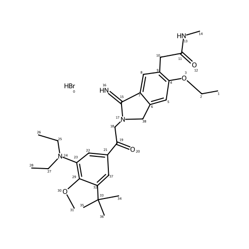 Br.CCOc1cc2c(cc1CC(=O)NC)C(=N)N(CC(=O)c1cc(N(CC)CC)c(OC)c(C(C)(C)C)c1)C2